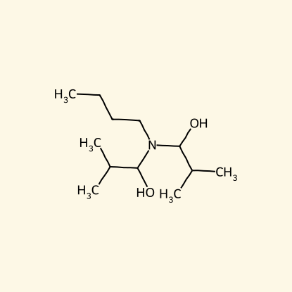 CCCCN(C(O)C(C)C)C(O)C(C)C